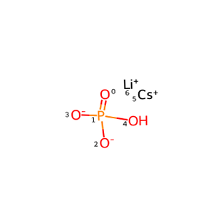 O=P([O-])([O-])O.[Cs+].[Li+]